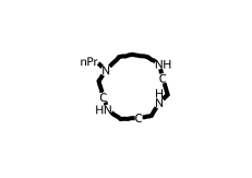 CCCN1CCCNCCNCCCNCC1